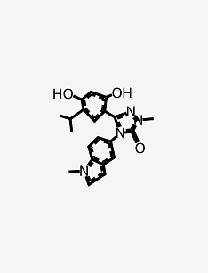 CC(C)c1cc(-c2nn(C)c(=O)n2-c2ccc3c(ccn3C)c2)c(O)cc1O